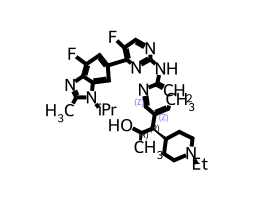 C=C(/N=C\C(=C/C)[C@@H](C1CCN(CC)CC1)[C@@H](C)O)Nc1ncc(F)c(-c2cc(F)c3nc(C)n(C(C)C)c3c2)n1